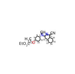 CCOC(=O)C(C)Oc1ccc(N(C)c2cc3ccccc3c(C#N)n2)cc1